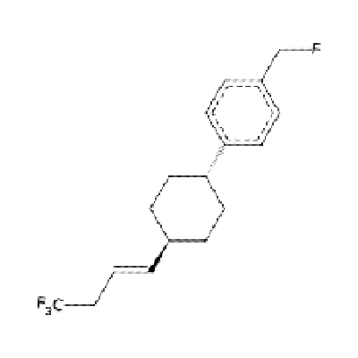 FCc1ccc([C@H]2CC[C@H](C=CCC(F)(F)F)CC2)cc1